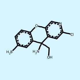 Bc1ccc2c(c1)C(N)(CO)c1cc(Cl)ncc1O2